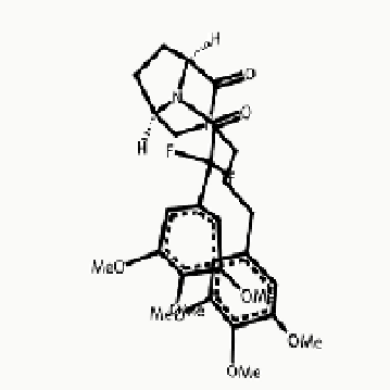 COc1cc(CCCN2C[C@H]3CC[C@@H](C2=O)N3C(=O)C(F)(F)c2cc(OC)c(OC)c(OC)c2)cc(OC)c1OC